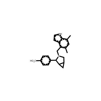 Cc1cc(C)c2[nH]ccc2c1CN1CC2CC2C1c1ccc(C(=O)O)cc1